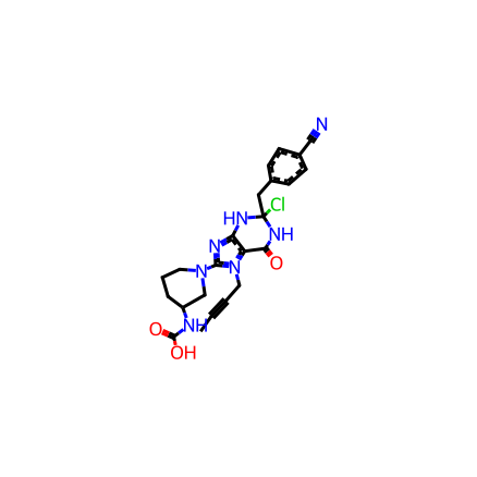 CC#CCn1c(N2CCCC(NC(=O)O)C2)nc2c1C(=O)NC(Cl)(Cc1ccc(C#N)cc1)N2